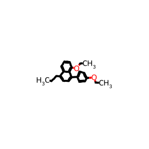 CCCc1ccc(-c2ccc(OCC)cc2)c2c(OCC)cccc12